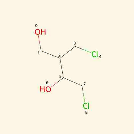 OCC(CCl)C(O)CCl